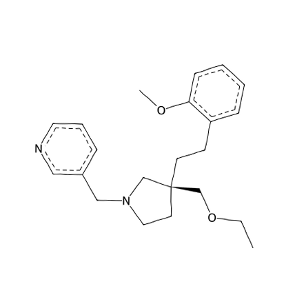 CCOC[C@@]1(CCc2ccccc2OC)CCN(Cc2cccnc2)C1